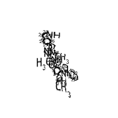 CCOc1ccc(S(=O)(=O)N[C@H](C)c2nnc(Oc3ccc4cc[nH]c4c3)n2CC)cc1NC(=O)N1CCOCC1